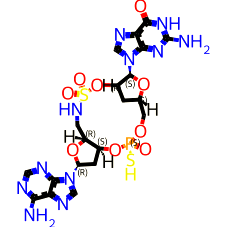 Nc1nc2c(ncn2[C@H]2O[C@@H]3CO[P@](=O)(S)O[C@H]4C[C@H](n5cnc6c(N)ncnc65)O[C@@H]4CNS(=O)(=O)O[C@@H]2C3)c(=O)[nH]1